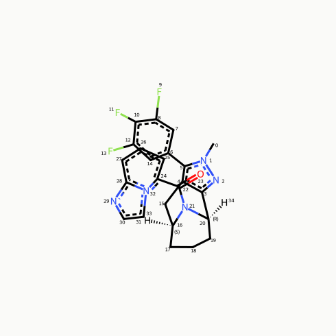 Cn1nc2c(c1-c1cc(F)c(F)c(F)c1)C[C@@H]1CCC[C@H]2N1C(=O)c1cccc2nccn12